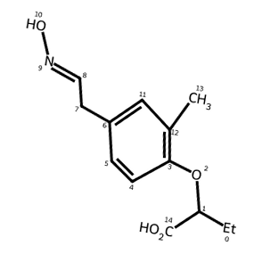 CCC(Oc1ccc(CC=NO)cc1C)C(=O)O